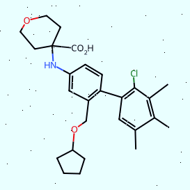 Cc1cc(-c2ccc(NC3(C(=O)O)CCOCC3)cc2COC2CCCC2)c(Cl)c(C)c1C